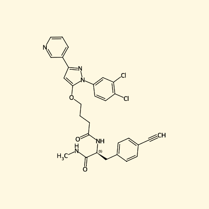 C#Cc1ccc(C[C@H](NC(=O)CCCOc2cc(-c3cccnc3)nn2-c2ccc(Cl)c(Cl)c2)C(=O)NC)cc1